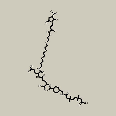 CC(C)(CCC(C)(C)CC(=O)NCC1CCC(C(=O)NC(CCC(=O)NC(CCC(=O)O)C(=O)NCCCOCCOCCOCCCNC(=O)CCN2C(=O)CC([SH](=O)=O)C2=O)C(=O)O)CC1)CC(=O)O